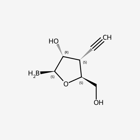 B[C@@H]1O[C@H](CO)[C@@H](C#C)[C@H]1O